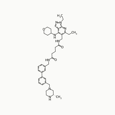 CCc1nc2c(cnn2CC)c(NC2CCOCC2)c1CNC(=O)CCCC(=O)NCc1cccc(-c2cccc(CN3CCN[C@@H](C)C3)c2)c1